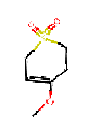 COC1=CCS(=O)(=O)CC1